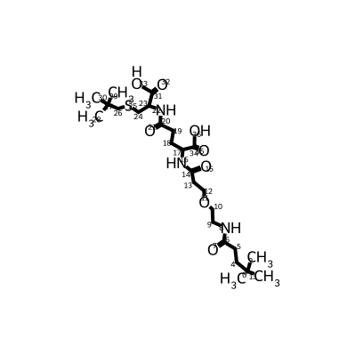 CC(C)(C)CCC(=O)NCCOCCC(=O)NC(CCC(=O)NC(CSCC(C)(C)C)C(=O)O)C(=O)O